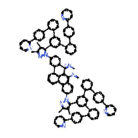 C=Nc1c2c3c(cccc3c3cc(-n4nc(C)c(C)c4-c4cc(-c5ccccc5-c5ccc(-c6ccccn6)cc5)cc(-c5ccccc5-c5ccc(-c6ccccn6)cc5)c4)ccc13)-c1cc(-n3nc(C)c(C)c3-c3cc(-c4ccccc4-c4ccc(-c5ccccn5)cc4)cc(-c4ccccc4-c4ccc(-c5ccccn5)cc4)c3)ccc1/C2=N/C